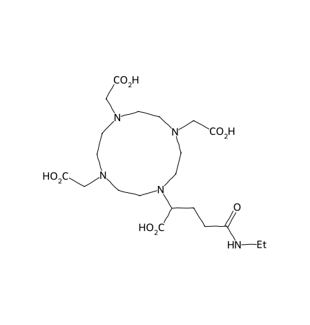 CCNC(=O)CCC(C(=O)O)N1CCN(CC(=O)O)CCN(CC(=O)O)CCN(CC(=O)O)CC1